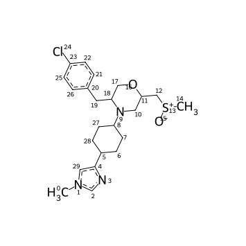 Cn1cnc(C2CCC(N3CC(C[S+](C)[O-])OCC3Cc3ccc(Cl)cc3)CC2)c1